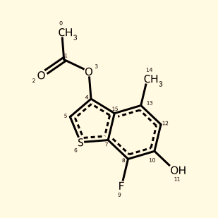 CC(=O)Oc1csc2c(F)c(O)cc(C)c12